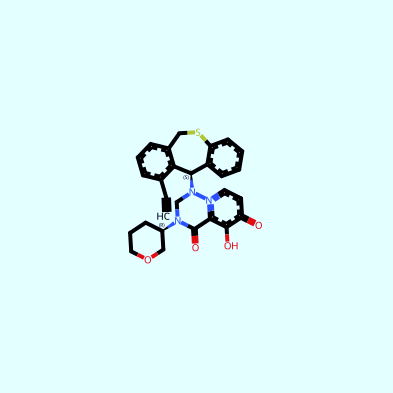 C#Cc1cccc2c1[C@H](N1CN([C@@H]3CCCOC3)C(=O)c3c(O)c(=O)ccn31)c1ccccc1SC2